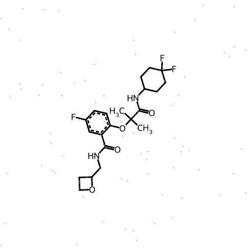 CC(C)(Oc1ccc(F)cc1C(=O)NCC1CCO1)C(=O)NC1CCC(F)(F)CC1